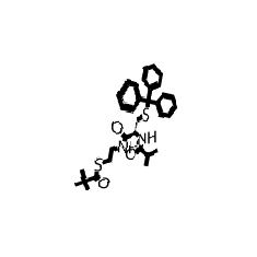 CC(C)C(=O)N[C@@H](CSC(c1ccccc1)(c1ccccc1)c1ccccc1)C(=O)NCCSC(=O)C(C)(C)C